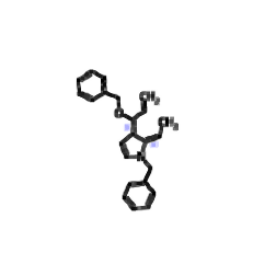 C=C/C(OCc1ccccc1)=c1/ccn(Cc2ccccc2)/c1=C/C